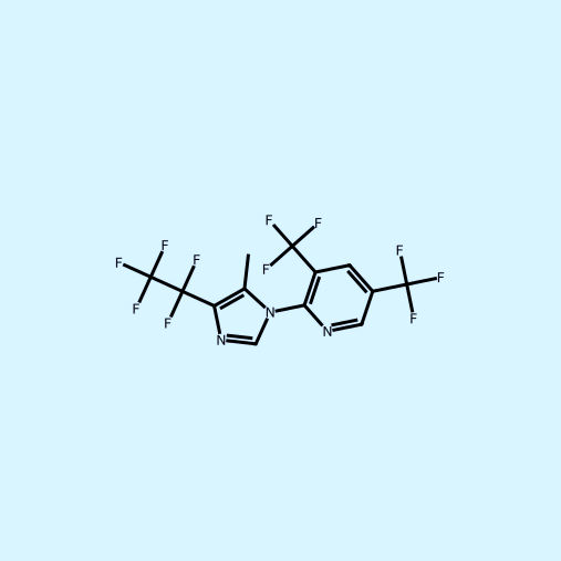 Cc1c(C(F)(F)C(F)(F)F)ncn1-c1ncc(C(F)(F)F)cc1C(F)(F)F